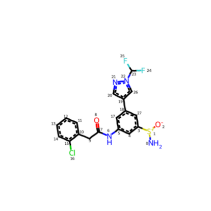 N[S+]([O-])c1cc(NC(=O)Cc2ccccc2Cl)cc(-c2cnn(C(F)F)c2)c1